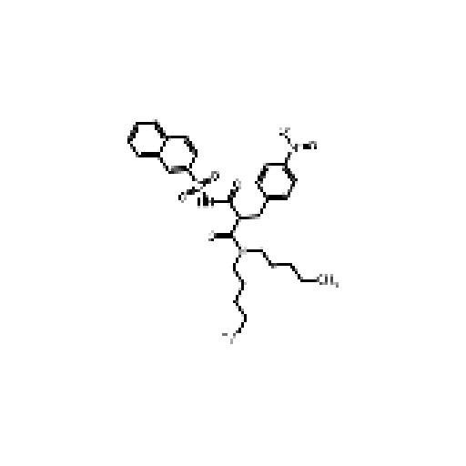 CCCCCN(CCCCC)C(=O)C(Cc1ccc([N+](=O)[O-])cc1)C(=O)NS(=O)(=O)c1ccc2ccccc2c1